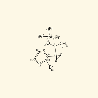 CC(O[Si](C(C)C)(C(C)C)C(C)C)C1(c2ccccc2Br)CC1